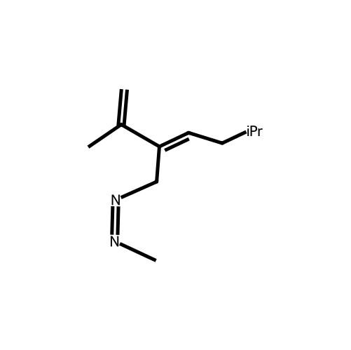 C=C(C)/C(=C/CC(C)C)C/N=N\C